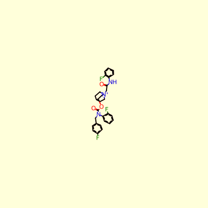 O=C(C[N+]12CCC(CC1)C(OC(=O)N(Cc1ccc(F)cc1)c1ccccc1F)C2)Nc1ccccc1F